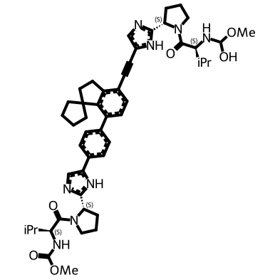 COC(=O)N[C@H](C(=O)N1CCC[C@H]1c1ncc(-c2ccc(-c3ccc(C#Cc4cnc([C@@H]5CCCN5C(=O)[C@@H](NC(O)OC)C(C)C)[nH]4)c4c3C3(CCCC3)CC4)cc2)[nH]1)C(C)C